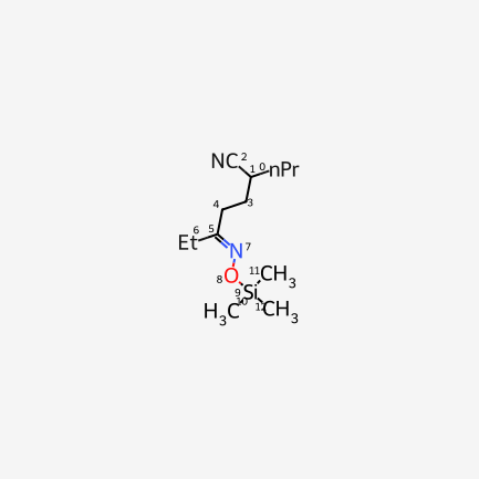 CCCC(C#N)CCC(CC)=NO[Si](C)(C)C